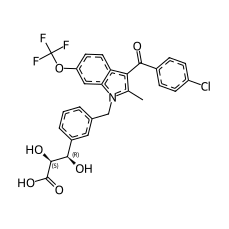 Cc1c(C(=O)c2ccc(Cl)cc2)c2ccc(OC(F)(F)F)cc2n1Cc1cccc([C@@H](O)[C@H](O)C(=O)O)c1